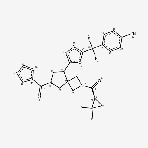 CC1(C)C[C@@H]1C(=O)N1CC2(CN(C(=O)c3cncs3)CC2c2nnc(C(F)(F)c3ccc(C#N)cc3)o2)C1